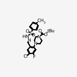 Cc1ccc(S(=O)(=O)N/N=C/c2cc(Cl)c(F)cc2N2CCN(C(=O)OC(C)(C)C)CC2)cc1